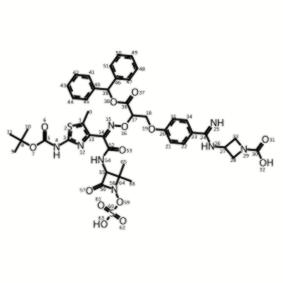 Cc1sc(NC(=O)OC(C)(C)C)nc1C(=NOC(COc1ccc(C(=N)NC2CN(C(=O)O)C2)cc1)C(=O)OC(c1ccccc1)c1ccccc1)C(=O)NC1C(=O)N(OS(=O)(=O)O)C1(C)C